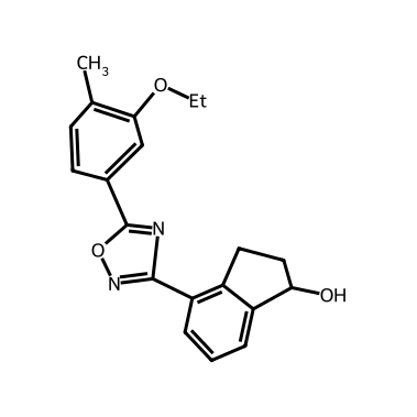 CCOc1cc(-c2nc(-c3cccc4c3CCC4O)no2)ccc1C